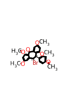 COc1ccc([C@@H]2c3c(OC)cc(OC)cc3C(=O)c3c(OC)cc(OC)cc3[C@H]2Br)cc1